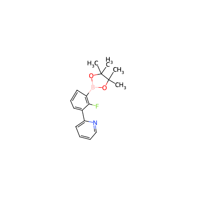 CC1(C)OB(c2cccc(-c3ccccn3)c2F)OC1(C)C